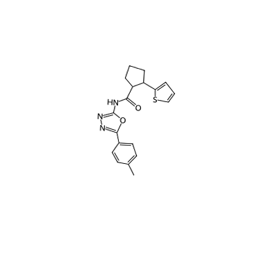 Cc1ccc(-c2nnc(NC(=O)C3CCCC3c3cccs3)o2)cc1